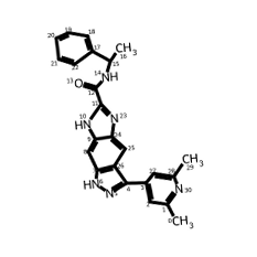 Cc1cc(-c2n[nH]c3cc4[nH]c(C(=O)NC(C)c5ccccc5)nc4cc23)cc(C)n1